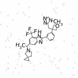 CC(c1cc(C(F)(F)F)c2[nH]c(-c3cccc(C4(Cc5nncn5C)COC4)c3)nc2c1)N1CCC2(CC2)C1